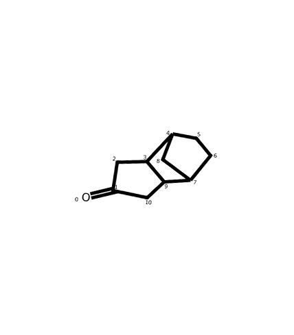 O=C1CC2C3CCC(C3)C2C1